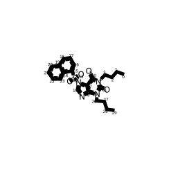 CCCCn1c(=O)c2c(ncn2S(=O)(=O)c2cccc3ccccc23)n(CCCC)c1=O